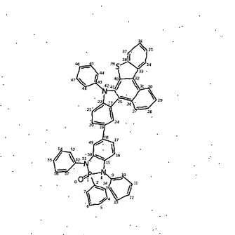 O=P1(c2ccccc2)N(c2ccccc2)c2ccc(-c3ccc4c(c3)c3c5ccccc5c5c6ccccc6sc5c3n4-c3ccccc3)cc2N1c1ccccc1